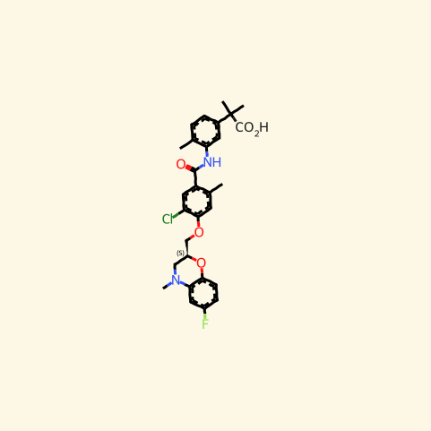 Cc1ccc(C(C)(C)C(=O)O)cc1NC(=O)c1cc(Cl)c(OC[C@@H]2CN(C)c3cc(F)ccc3O2)cc1C